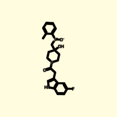 Cc1ccccc1[S+]([O-])CC1(O)CCN(C(=O)Cc2c[nH]c3ccc(F)cc23)CC1